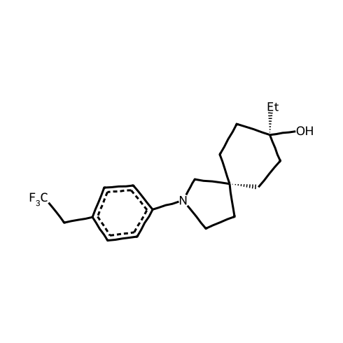 CC[C@]1(O)CC[C@@]2(CCN(c3ccc(CC(F)(F)F)cc3)C2)CC1